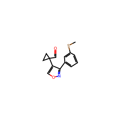 CSc1cccc(-c2nocc2C2(C=O)CC2)c1